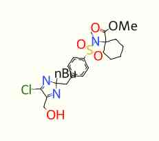 CCCCC1(Cc2ccc(S(=O)(=O)N(C)C3(C(=O)OC)CCCCC3)cc2)N=C(Cl)C(CO)=N1